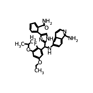 CCOc1cc(OC(C)C)c(F)c(C(Nc2ccc3c(N)nccc3c2)c2nc(-c3ccccc3C(N)=O)c[nH]2)c1